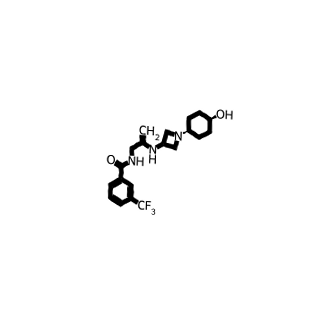 C=C(CNC(=O)c1cccc(C(F)(F)F)c1)NC1CN([C@H]2CC[C@H](O)CC2)C1